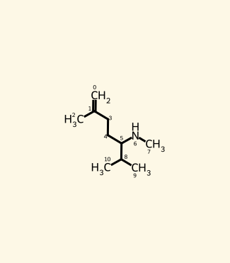 C=C(C)CCC(NC)C(C)C